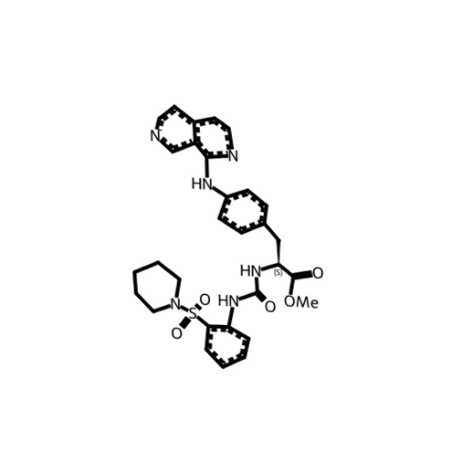 COC(=O)[C@H](Cc1ccc(Nc2nccc3ccncc23)cc1)NC(=O)Nc1ccccc1S(=O)(=O)N1CCCCC1